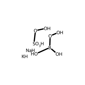 O=S(=O)(O)OO.OOB(O)O.[KH].[NaH]